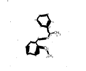 COc1ccccc1C=N[C@H](C)c1ccccc1